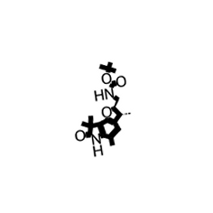 Cc1cc2c(c3c1NC(=O)C3(C)C)O[C@@H](CNC(=O)OC(C)(C)C)[C@@H]2C